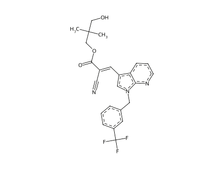 CC(C)(CO)COC(=O)/C(C#N)=C/c1cn(Cc2cccc(C(F)(F)F)c2)c2ncccc12